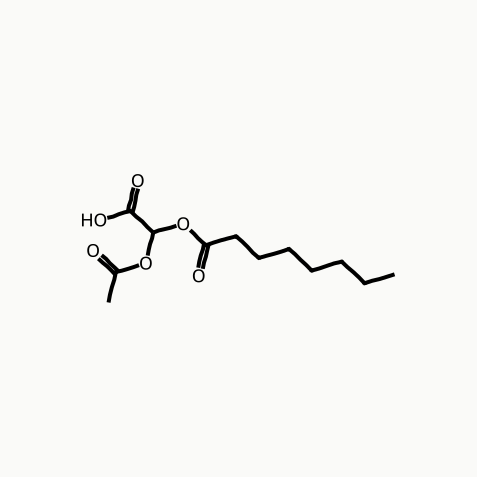 CCCCCCCC(=O)OC(OC(C)=O)C(=O)O